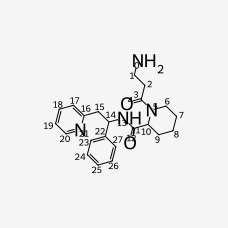 NCCC(=O)N1CCCCC1C(=O)NC(Cc1ccccn1)c1ccccc1